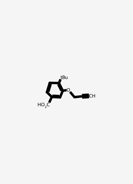 C#CCOc1cc(C(=O)O)ccc1C(C)(C)C